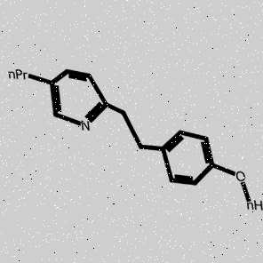 CCCCCCCOc1ccc(CCc2ccc(CCC)cn2)cc1